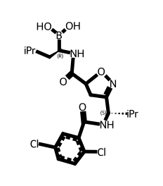 CC(C)C[C@H](NC(=O)C1CC([C@@H](NC(=O)c2cc(Cl)ccc2Cl)C(C)C)=NO1)B(O)O